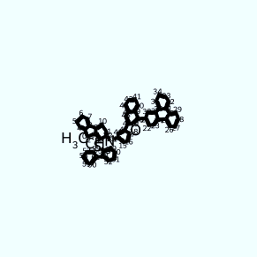 CC1(C)c2ccccc2-c2ccc(N(c3ccc4oc5c(-c6ccc7c8ccccc8c8ccccc8c7c6)c6ccccc6cc5c4c3)c3cccc4c3sc3ccccc34)cc21